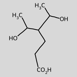 CC(O)C(CCC(=O)O)C(C)O